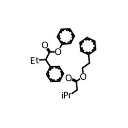 CC(C)CC(=O)OCCc1ccccc1.CCC(C(=O)Oc1ccccc1)c1ccccc1